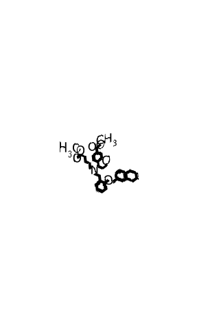 COC(=O)CCCCN(CCc1ccccc1OCc1ccc2c(c1)CCCC2)C1CCOc2cc(C(=O)OC)ccc21